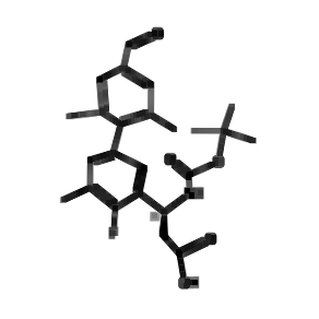 Cc1cc(-c2c(C)cc(C=O)cc2C)cc([C@H](CC(=O)O)NC(=O)OC(C)(C)C)c1F